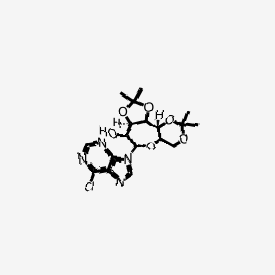 CC1(C)OCC2OC(n3cnc4c(Cl)ncnc43)C(O)[C@H]3OC(C)(C)OC3[C@@H]2O1